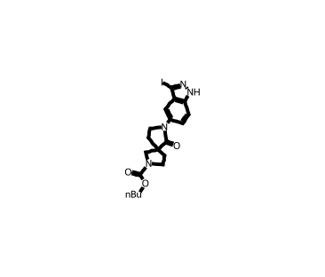 CCCCOC(=O)N1CCC2(CCN(c3ccc4[nH]nc(I)c4c3)C2=O)C1